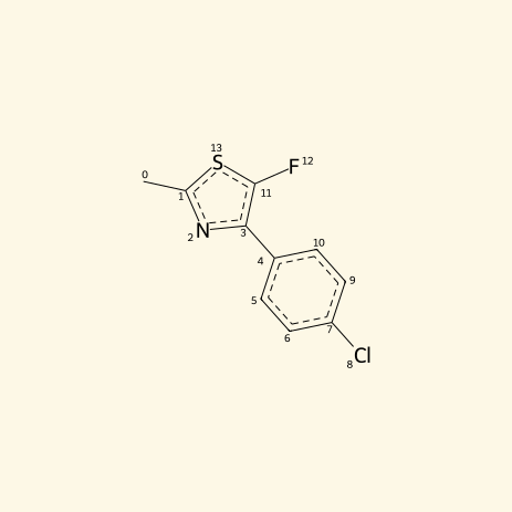 Cc1nc(-c2ccc(Cl)cc2)c(F)s1